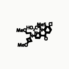 COCCN(c1ccc2c(=O)c3ccc(Cl)c(SC)c3n(CC(=O)O)c2n1)C1CC(OC)C1